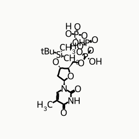 Cc1cn([C@H]2C[C@H](O[Si](C)(C)C(C)(C)C)[C@@H](COP(=O)(O)OP(=O)(O)OP(=O)(O)O)O2)c(=O)[nH]c1=O